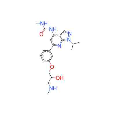 CNCC(O)COc1cccc(-c2cc(NC(=O)NC)c3cnn(C(C)C)c3n2)c1